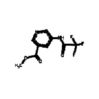 COC(=O)c1cncc(NC(=O)C(F)(F)F)c1